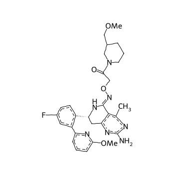 COCC1CCCN(C(=O)CO/N=C2\N[C@@H](c3ccc(F)cc3-c3cccc(OC)n3)Cc3nc(N)nc(C)c32)C1